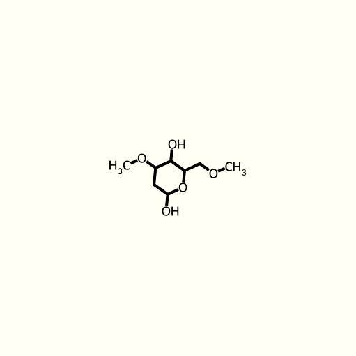 COCC1OC(O)CC(OC)C1O